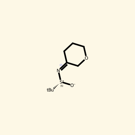 CC(C)(C)[S@@+]([O-])/N=C1/CCCOC1